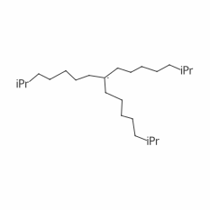 CC(C)CCCCC[C](CCCCCC(C)C)CCCCCC(C)C